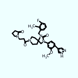 COc1cc(N2CC3(CCN(C(=O)CCN4CCCC4=O)CC3)N(Cc3cccc(F)c3C)C2=O)ccc1-c1cn[nH]c1